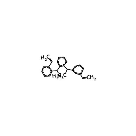 C=Cc1cccc(C(C)c2ccccc2C(C)c2ccccc2C=C)c1